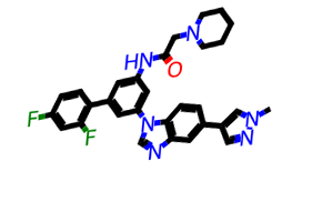 Cn1cc(-c2ccc3c(c2)ncn3-c2cc(NC(=O)CN3CCCCC3)cc(-c3ccc(F)cc3F)c2)cn1